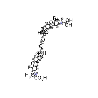 C/C(=C\c1cc(F)c(Oc2ccc(S(=O)(=O)NCCOCCOCCNS(=O)(=O)c3ccc(Oc4c(F)cc(/C=C(\C)C(O)O)cc4F)cc3)cc2)c(F)c1)C(=O)O